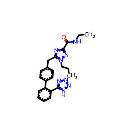 CCCn1nc(C(=O)NCC)nc1Cc1ccc(-c2ccccc2-c2nnn[nH]2)cc1